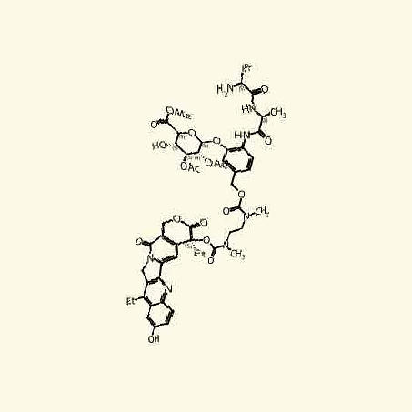 CCc1c2c(nc3ccc(O)cc13)-c1cc3c(c(=O)n1C2)COC(=O)[C@@]3(CC)OC(=O)N(C)CCN(C)C(=O)OCc1ccc(NC(=O)[C@H](C)NC(=O)[C@@H](N)C(C)C)c(O[C@@H]2O[C@H](C(=O)OC)[C@@H](O)[C@H](OC(C)=O)[C@H]2OC(C)=O)c1